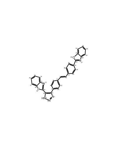 C(=Cc1ccc(-c2nn[nH]c2-c2nc3ccccc3o2)cc1)c1ccc(-c2nc3ccccc3o2)cc1